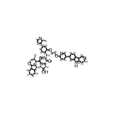 Cc1ncsc1-c1ccc(CNC(=O)[C@@H]2C[C@@H](O)CN2C(=O)C(C(C)C)N2Cc3ccccc3C2=O)c(OCCOc2ccc(-c3ccc4c(c3)[nH]c3ccncc34)cn2)c1